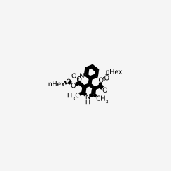 CCCCCCOOC(=O)C1=C(C)NC(C)=C(C(=O)OOCCCCCC)C1c1ccccc1[N+](=O)[O-]